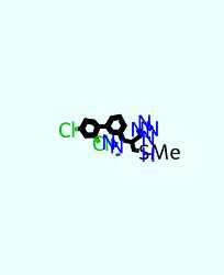 CSCC(c1nnn[nH]1)c1c2cccc(-c3ccc(Cl)cc3Cl)c2nn1C